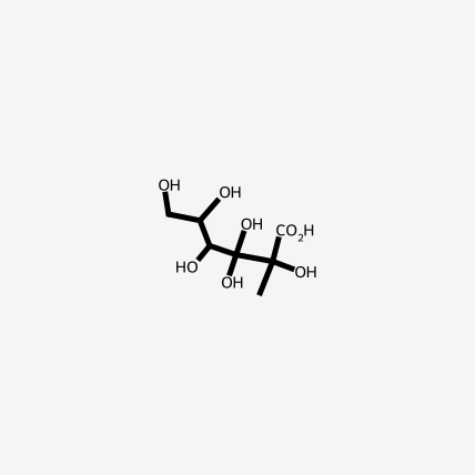 CC(O)(C(=O)O)C(O)(O)C(O)C(O)CO